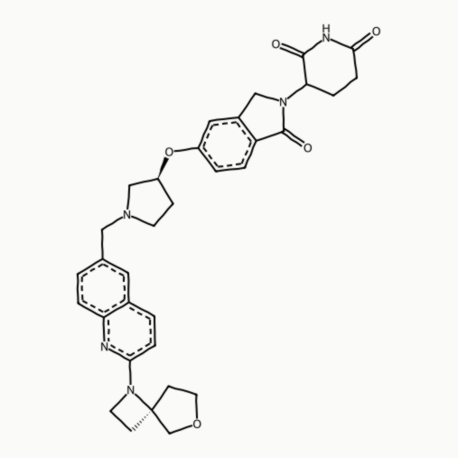 O=C1CCC(N2Cc3cc(O[C@H]4CCN(Cc5ccc6nc(N7CC[C@@]78CCOC8)ccc6c5)C4)ccc3C2=O)C(=O)N1